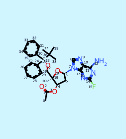 CC(=O)O[C@H]1C[C@H](n2cnc3c(N)nc(F)nc32)O[C@]1(C)CO[Si](c1ccccc1)(c1ccccc1)C(C)(C)C